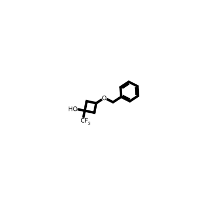 OC1(C(F)(F)F)CC(OCc2ccccc2)C1